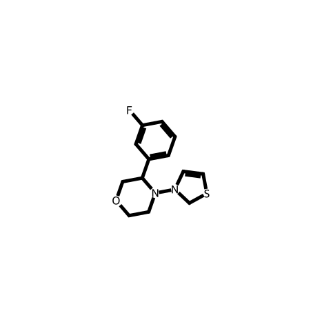 Fc1cccc(C2COCCN2N2C=CSC2)c1